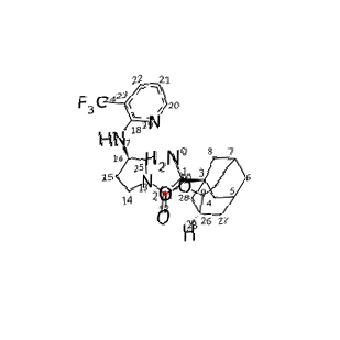 NC(=O)[C@]12CC3CC(C1)C(OC(=O)N1CC[C@@H](Nc4ncccc4C(F)(F)F)C1)[C@@H](C3)C2